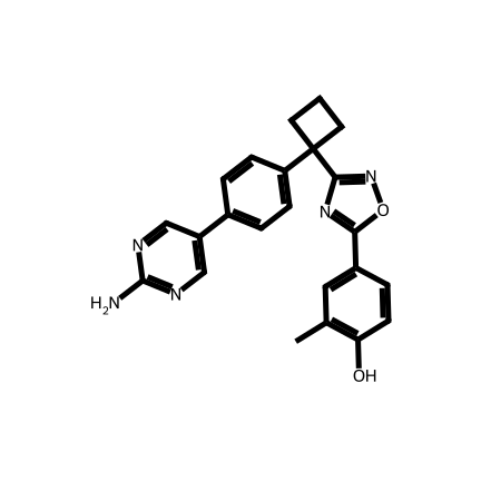 Cc1cc(-c2nc(C3(c4ccc(-c5cnc(N)nc5)cc4)CCC3)no2)ccc1O